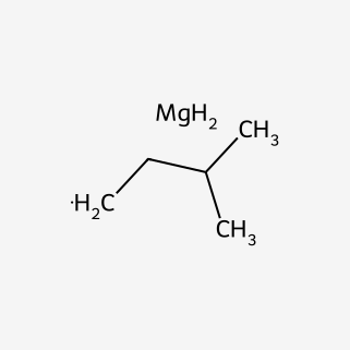 [CH2]CC(C)C.[MgH2]